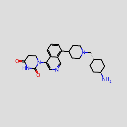 N[C@H]1CC[C@H](CN2CCC(c3cccc4c(N5CCC(=O)NC5=O)cncc34)CC2)CC1